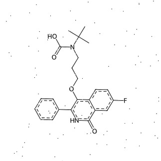 CC(C)(C)N(CCCOc1c(-c2ccccc2)[nH]c(=O)c2cc(F)ccc12)C(=O)O